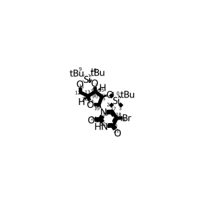 CC(C)(C)[Si](C)(C)O[C@@H]1[C@@H]2O[Si](C(C)(C)C)(C(C)(C)C)OC[C@H]2O[C@H]1n1cc(Br)c(=O)[nH]c1=O